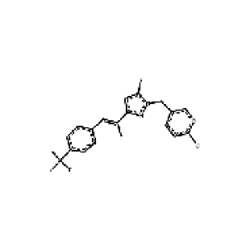 Cc1cc(C(F)=Cc2ccc(C(F)(F)F)cc2)nn1Cc1ccc(Cl)nc1